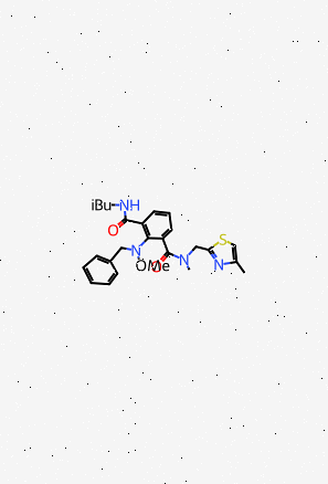 CCC(C)NC(=O)c1cccc(C(=O)N(C)Cc2nc(C)cs2)c1N(Cc1ccccc1)OC